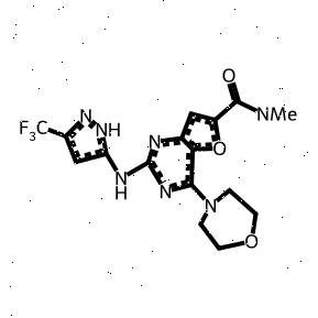 CNC(=O)c1cc2nc(Nc3cc(C(F)(F)F)n[nH]3)nc(N3CCOCC3)c2o1